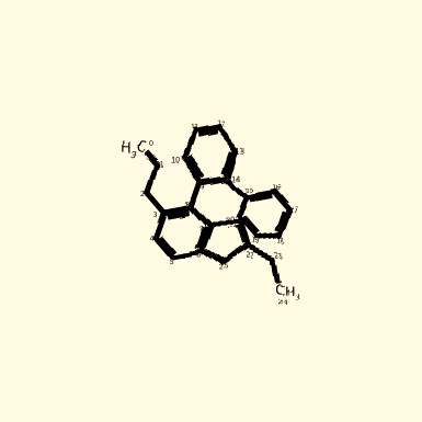 CCCc1ccc2c(c1-c1ccccc1-c1ccccc1)C=C(CC)[CH]2